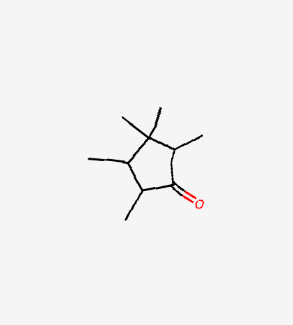 CC1C(=O)C(C)C(C)(C)C1C